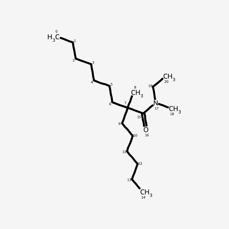 CCCCCCCC(C)(CCCCCC)C(=O)N(C)CC